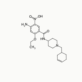 CCOc1cc(N)c([N+](=O)O)cc1C(=O)NC1CCN(CC2CC=CCC2)CC1